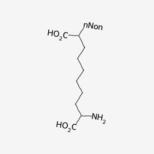 CCCCCCCCCC(CCCCCCC(N)C(=O)O)C(=O)O